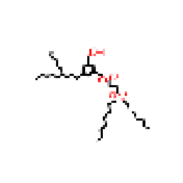 C[CH]CCCC(CCCCC)CCCc1cc(CO)cc(COC(=O)CCC(OCCCCCCCC)OCCCCCCCC)c1